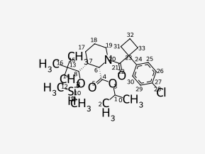 CC(C)OC(=O)[C@@H]1[C@H](C(O[SiH](C)C)C(C)(C)C)CCCN1C(=O)C1(c2ccc(Cl)cc2)CCC1